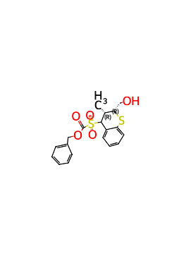 C[C@H]1C(S(=O)(=O)C(=O)OCc2ccccc2)c2ccccc2S[C@H]1CO